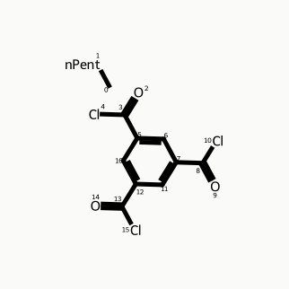 CCCCCC.O=C(Cl)c1cc(C(=O)Cl)cc(C(=O)Cl)c1